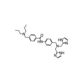 CCCN(CCC)Cc1ccc(C(=O)Nc2ccc(CN(Cc3ncc[nH]3)Cc3ncc[nH]3)cc2)cc1